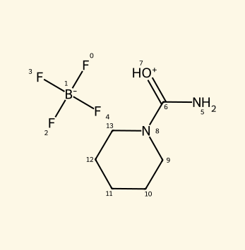 F[B-](F)(F)F.NC(=[OH+])N1CCCCC1